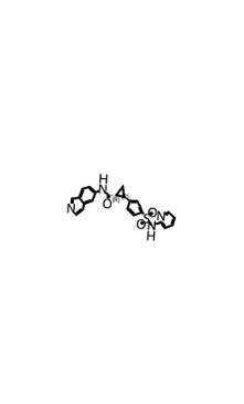 O=C(Nc1ccc2cnccc2c1)[C@@H]1C[C@H]1c1ccc(S(=O)(=O)Nc2ccccn2)cc1